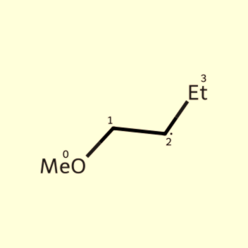 [CH2]OC[CH]CC